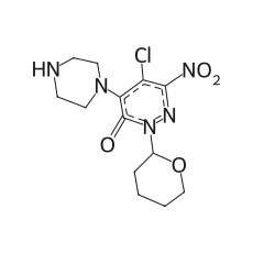 O=c1c(N2CCNCC2)c(Cl)c([N+](=O)[O-])nn1C1CCCCO1